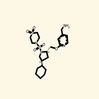 NCc1ccnc(OC[C@@H]2C[C@@H](C3CCCCC3)CN2S(=O)(=O)N2CCS(=O)(=O)CC2)c1